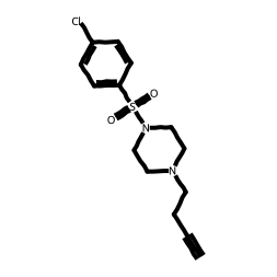 C#CCCN1CCN(S(=O)(=O)c2ccc(Cl)cc2)CC1